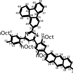 CCCCCCCCc1cc(-c2cc(-c3cc(CCCCCCCC)c(-c4ccc5cc6cc(C)ccc6cc5c4)cc3CCCCCCCC)nc(-c3ccc4c5ccccc5c5ccccc5c4c3)n2)c(CCCCCCCC)cc1C